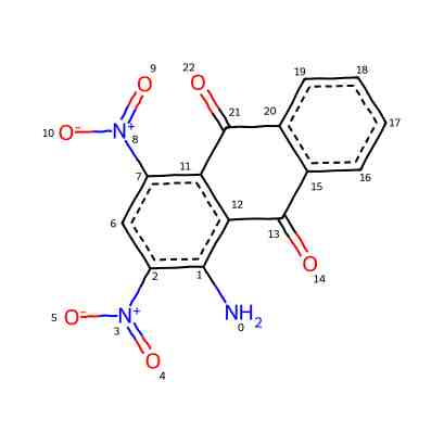 Nc1c([N+](=O)[O-])cc([N+](=O)[O-])c2c1C(=O)c1ccccc1C2=O